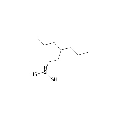 CCCC(CCC)CC[SiH](S)S